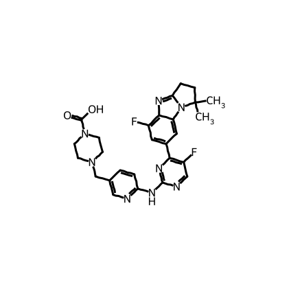 CC1(C)CCc2nc3c(F)cc(-c4nc(Nc5ccc(CN6CCN(C(=O)O)CC6)cn5)ncc4F)cc3n21